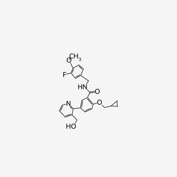 COc1ccc(CNC(=O)c2cc(-c3ncccc3CO)ccc2OCC2CC2)cc1F